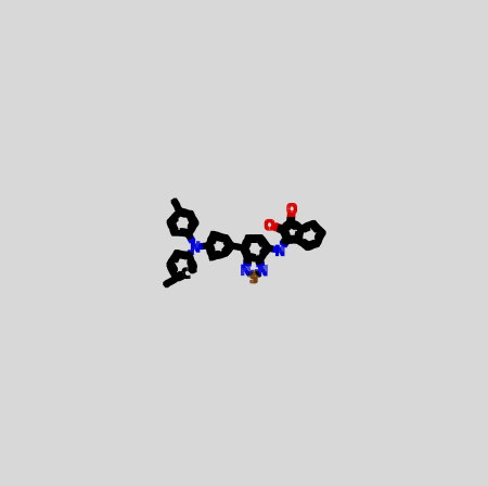 Cc1ccc(N(c2ccc(C)cc2)c2ccc(-c3ccc(/N=c4\c(=O)c(=O)c5ccccc45)c4nsnc34)cc2)cc1